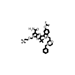 CC(C)(C)c1nc2c(nc1-c1nn(CC3CN(Cc4ccccc4)CCO3)c3ccc(OC(F)F)cc13)c(C(N)=O)cn2COCC[Si](C)(C)C